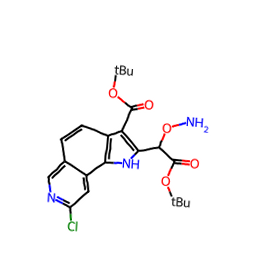 CC(C)(C)OC(=O)c1c(C(ON)C(=O)OC(C)(C)C)[nH]c2c1ccc1cnc(Cl)cc12